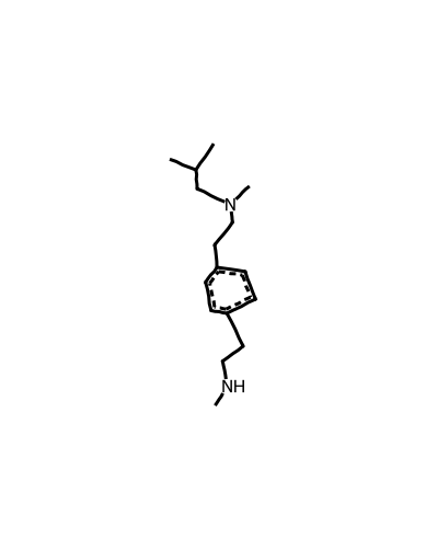 CNCCc1ccc(CCN(C)CC(C)C)cc1